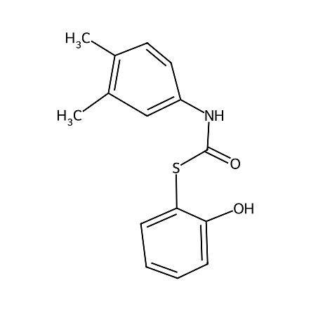 Cc1ccc(NC(=O)Sc2ccccc2O)cc1C